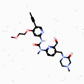 CC#Cc1cnc(NC(=O)N(C)c2ccc(CN3CCN(C)CC3=O)c(C=O)n2)cc1OCCOC